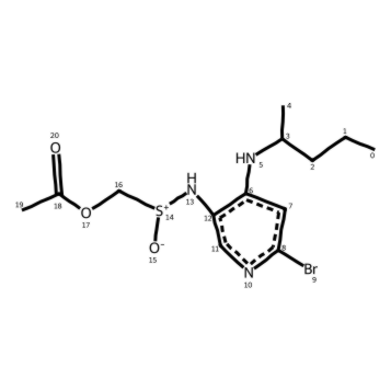 CCCC(C)Nc1cc(Br)ncc1N[S+]([O-])COC(C)=O